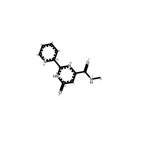 CNC(=O)c1cc(=O)[nH]c(-c2ccccn2)n1